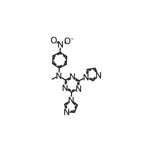 CN(c1ccc([N+](=O)[O-])cc1)c1nc(-n2ccnc2)nc(-n2ccnc2)n1